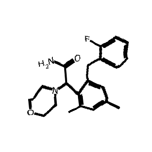 Cc1cc(C)c(C(C(N)=O)N2CCOCC2)c(Cc2ccccc2F)c1